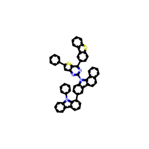 c1ccc(-c2cc3nc(-n4c5ccc(-c6cccc7c8ccccc8n(-c8ccccc8)c67)cc5c5ccc6ccccc6c54)nc(-c4ccc5sc6ccccc6c5c4)c3s2)cc1